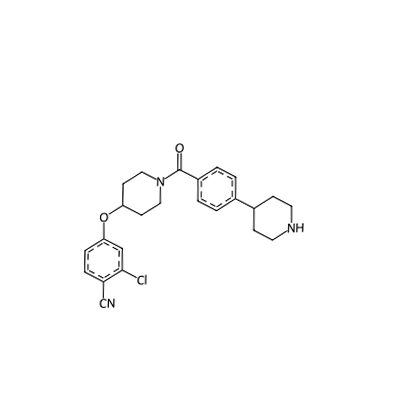 N#Cc1ccc(OC2CCN(C(=O)c3ccc(C4CCNCC4)cc3)CC2)cc1Cl